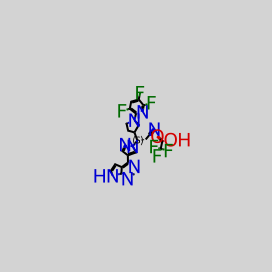 N#CC[C@@H](C1CCN(c2nc(F)c(F)cc2F)C1)n1cc(-c2ncnc3[nH]ccc23)cn1.O=C(O)C(F)(F)F